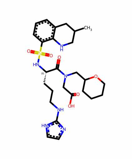 CC1CNc2c(cccc2S(=O)(=O)N[C@@H](CCCNc2ncc[nH]2)C(=O)N(CC(=O)O)CC2CCCCO2)C1